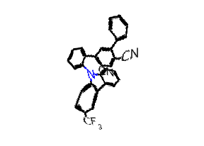 N#Cc1cc(C#N)c(-c2ccccc2-n2c3ccccc3c3cc(C(F)(F)F)ccc32)cc1-c1ccccc1